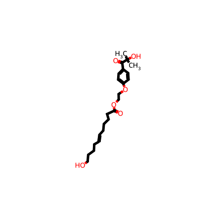 CC(C)(O)C(=O)c1ccc(OCCOC(=O)CCCC/C=C/CCCCO)cc1